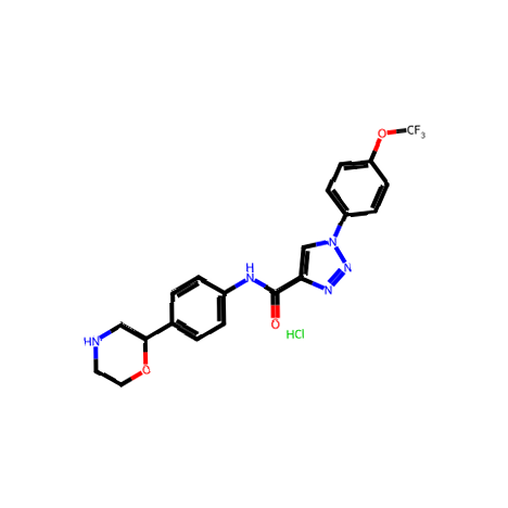 Cl.O=C(Nc1ccc(C2CNCCO2)cc1)c1cn(-c2ccc(OC(F)(F)F)cc2)nn1